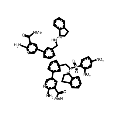 CNC(=O)c1cc(-c2cccc(CN([C@H]3CCc4ccccc43)S(=O)(=O)c3ccc([N+](=O)[O-])cc3[N+](=O)[O-])c2)cnc1N.CNC(=O)c1cc(-c2cccc(CN[C@H]3CCc4ccccc43)c2)cnc1N